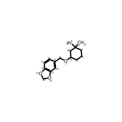 CC(C)C1(C)CCCC(OCc2ccc3c(c2)OCO3)C1